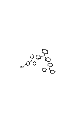 [Na][Cl].c1ccc(P(c2ccccc2)c2ccccc2)cc1.c1ccc(P(c2ccccc2)c2ccccc2)cc1.c1ccc(P(c2ccccc2)c2ccccc2)cc1